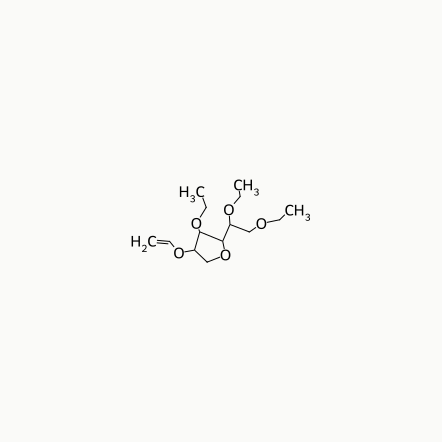 C=COC1COC(C(COCC)OCC)C1OCC